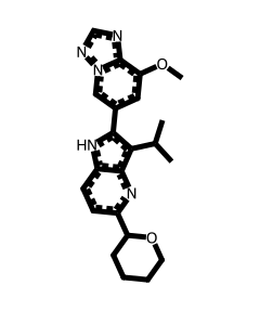 COc1cc(-c2[nH]c3ccc(C4CCCCO4)nc3c2C(C)C)cn2ncnc12